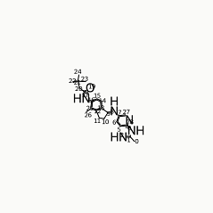 CC(=N)Nc1ccc(NC2CCc3c2ccc(NC(=O)CC(C)(C)C)c3C)cn1